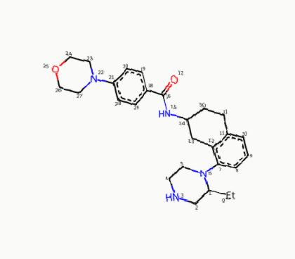 CCC1CNCCN1c1cccc2c1CC(NC(=O)c1ccc(N3CCOCC3)cc1)CC2